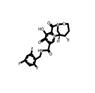 O=C(NCc1c(F)cc(F)cc1F)c1cn2c(c(O)c1=O)C(=O)N1CCC[C@H](F)[C@H]2C1